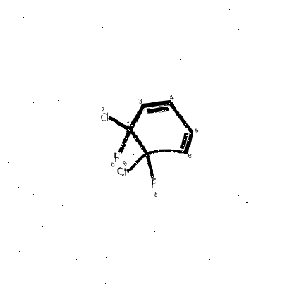 FC1(Cl)C=CC=CC1(F)Cl